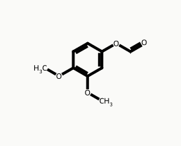 COc1ccc(O[C]=O)cc1OC